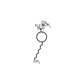 CCCCCCCCCC1CCCCCN(C(=O)OC(C)(C)C)CCCCC1